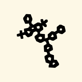 CC(C)(C)c1ccc2c3c(-c4cccc(N(c5ccc(-c6ccccc6)cc5)c5ccc(-c6ccc7ccccc7c6)cc5)c4)cc(C(C)(C)C)cc3n(-c3ccccc3)c2c1